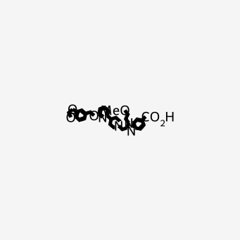 COCCn1c(CN2CCC(c3cccc(OCc4ccc5c(c4)OCO5)n3)CC2)nc2ccc(C(=O)O)cc21